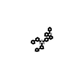 c1ccc(-c2cccc(-c3nc(-c4ccc(-c5cccc6nc(-c7ccccc7)c7ccccc7c56)cc4)nc(-c4cccc(-c5ccccc5)c4)n3)c2)cc1